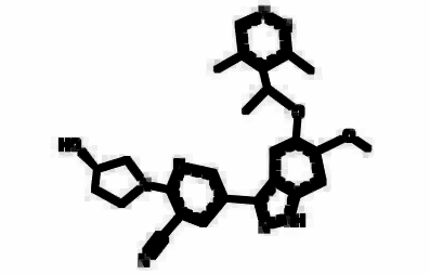 COc1cc2[nH]nc(-c3cnc(N4CC[C@@H](O)C4)c(C#N)c3)c2cc1OC(C)c1c(C)cnnc1C